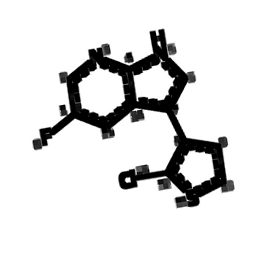 Fc1cnc2[nH]cc(-c3ccsc3Cl)c2c1